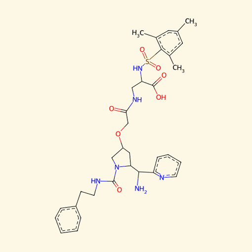 Cc1cc(C)c(S(=O)(=O)NC(CNC(=O)COC2CC(C(N)c3ccccn3)N(C(=O)NCCc3ccccc3)C2)C(=O)O)c(C)c1